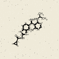 CC(C)Nc1ncnc(N)c1C(=N)c1ccc2nc(NC(=O)C3CC3)sc2c1